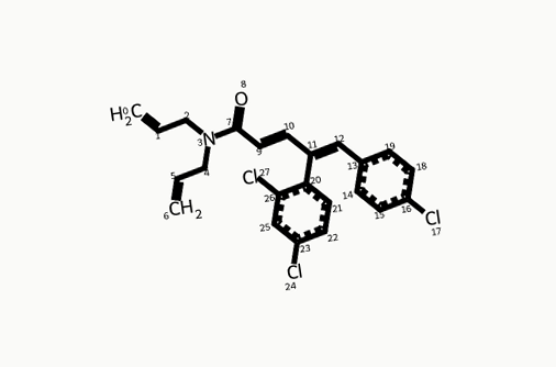 C=CCN(CC=C)C(=O)/C=C/C(=C/c1ccc(Cl)cc1)c1ccc(Cl)cc1Cl